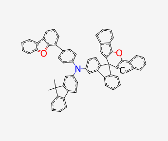 CC1(C)c2ccccc2-c2ccc(N(c3ccc(-c4cccc5c4oc4ccccc45)cc3)c3ccc4c(c3)-c3ccccc3C43c4ccc5ccccc5c4Oc4c3ccc3ccccc43)cc21